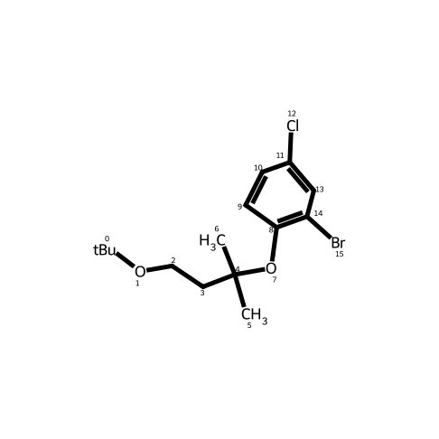 CC(C)(C)OCCC(C)(C)Oc1ccc(Cl)cc1Br